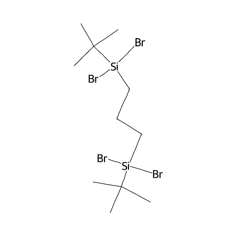 CC(C)(C)[Si](Br)(Br)CCC[Si](Br)(Br)C(C)(C)C